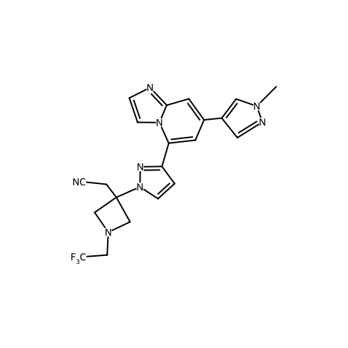 Cn1cc(-c2cc(-c3ccn(C4(CC#N)CN(CC(F)(F)F)C4)n3)n3ccnc3c2)cn1